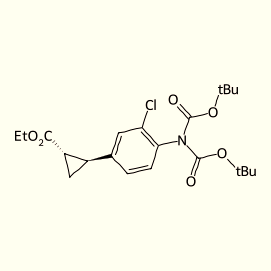 CCOC(=O)[C@H]1C[C@@H]1c1ccc(N(C(=O)OC(C)(C)C)C(=O)OC(C)(C)C)c(Cl)c1